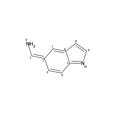 N/C=c1/ccc2c(c1)C=CN=2